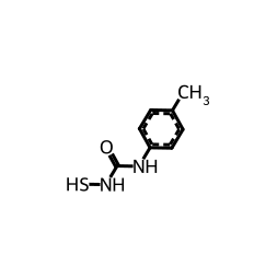 Cc1ccc(NC(=O)NS)cc1